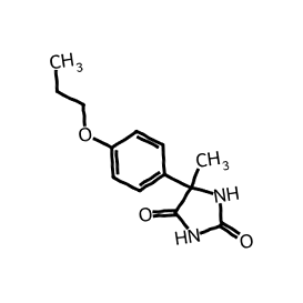 CCCOc1ccc(C2(C)NC(=O)NC2=O)cc1